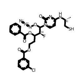 C[C@H](CS)Nc1ccn(C(ON=[N+]=[N-])[C@@H](F)C(CCOC(=O)c2cccc(Cl)c2)OC(=O)c2ccccc2)c(=O)n1